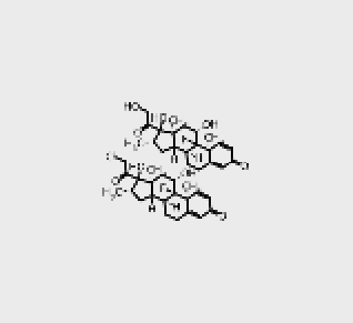 C[C@H]1C[C@H]2[C@@H]3CCC4=CC(=O)C=C[C@]4(C)[C@@]3(F)[C@@H](O)C[C@]2(C)[C@@]1(O)C(=O)CCl.C[C@H]1C[C@H]2[C@@H]3CCC4=CC(=O)C=C[C@]4(C)[C@@]3(F)[C@@H](O)C[C@]2(C)[C@@]1(O)C(=O)CO